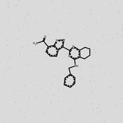 NC(=O)c1cccc2c(-c3nc4c(c(NCc5ccccc5)n3)CCCC4)nsc12